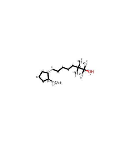 [2H]C([2H])(O)C([2H])([2H])CCCCC[C@H]1CCC[C@@H]1CCCCCCCC